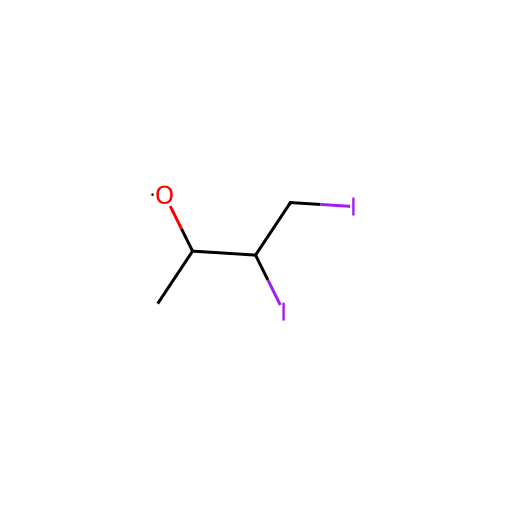 CC([O])C(I)CI